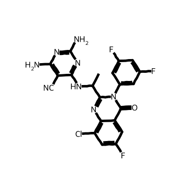 CC(Nc1nc(N)nc(N)c1C#N)c1nc2c(Cl)cc(F)cc2c(=O)n1-c1cc(F)cc(F)c1